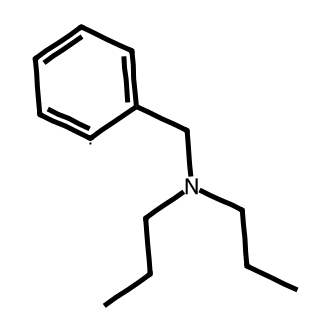 CCCN(CCC)Cc1[c]cccc1